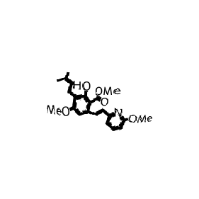 COC(=O)c1c(/C=C/c2cccc(OC)n2)cc(OC)c(CC=C(C)C)c1O